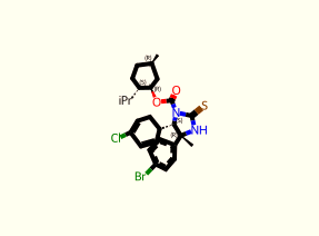 CC(C)[C@@H]1CC[C@@H](C)C[C@H]1OC(=O)N1C(=S)N[C@](C)(c2ccc(Br)cc2)[C@@H]1C1C=CC(Cl)=CC1